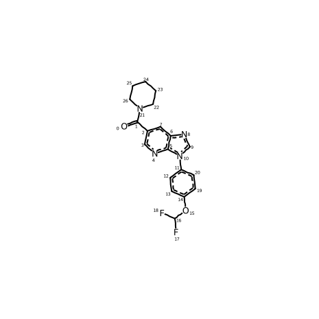 O=C(c1cnc2c(c1)ncn2-c1ccc(OC(F)F)cc1)N1CCCCC1